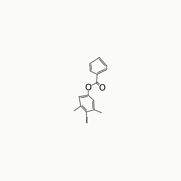 Cc1cc(OC(=O)c2ccccc2)cc(C)c1I